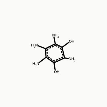 Nc1c(N)c(O)c(N)c(O)c1N